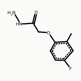 Cc1cc(F)ccc1OCC(=O)NN